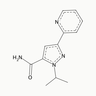 CC(C)n1nc(-c2ccccn2)cc1C(N)=O